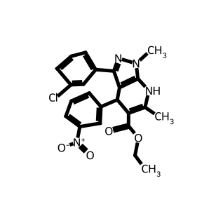 CCOC(=O)C1=C(C)Nc2c(c(-c3cccc(Cl)c3)nn2C)C1c1cccc([N+](=O)[O-])c1